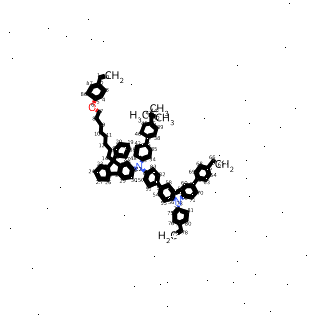 C=Cc1ccc(OCCCCCCCCC2(c3ccccc3)c3ccccc3-c3ccc(N(C4=CCC(C5=CC=C(C(C)(C)C)CC5)C=C4)c4ccc(-c5ccc6c(c5)c5cc(-c7ccc(C=C)cc7)ccc5n6-c5ccc(C=C)cc5)cc4)cc32)cc1